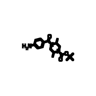 CC1CN(C(=O)c2ccc(N)cc2)C(C)CN1C(=O)OC(C)(C)C